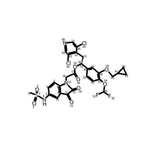 CS(=O)(=O)Nc1ccc2c(c1)C(=O)C(=O)N2CC(=O)O[C@@H](Cc1c(Cl)cncc1Cl)c1ccc(OC(F)F)c(OCC2CC2)c1